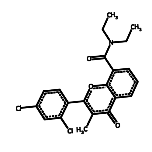 CCN(CC)C(=O)c1cccc2c(=O)c(C)c(-c3ccc(Cl)cc3Cl)oc12